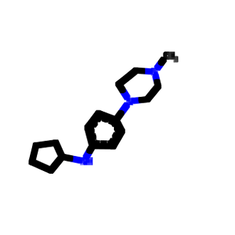 CN1CCN(c2ccc(NC3CCCC3)cc2)CC1